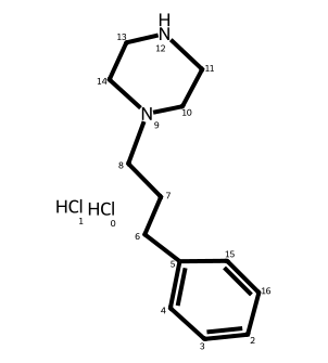 Cl.Cl.c1ccc(CCCN2CCNCC2)cc1